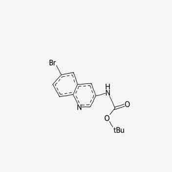 CC(C)(C)OC(=O)Nc1cnc2ccc(Br)cc2c1